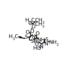 CC#CCSC1=C(C(=O)OCOC(=O)C(C)(C)C)N2C(=O)[C@@H](NC(=O)/C(=N\O)c3csc(N)n3)[C@@H]2SC1